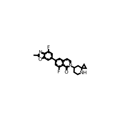 Cc1nc2c(F)cc(-c3cc(F)c4c(=O)n(C5CCNC6(CC6)C5)ccc4c3)cc2o1